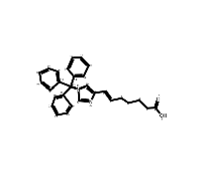 O=C(O)CCCC/C=C/c1cn(C(c2ccccc2)(c2ccccc2)c2ccccc2)cn1